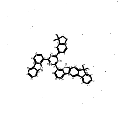 CC1(C)CCc2ccc(-c3nc(-c4cccc5c4oc4ccccc45)nc(-c4cccc5c4oc4cc6c(cc45)-c4ccccc4C6(C)C)n3)cc21